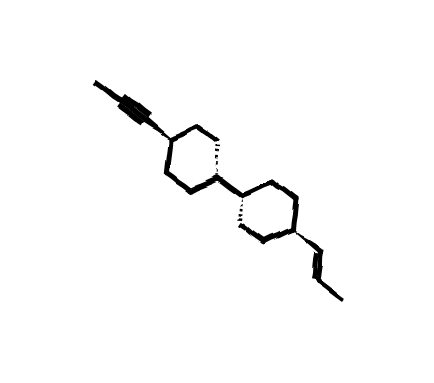 CC#C[C@H]1CC[C@H]([C@H]2CC[C@H](C=CC)CC2)CC1